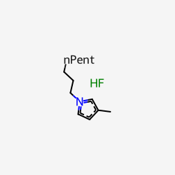 CCCCCCCCn1ccc(C)c1.F